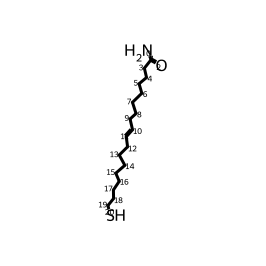 NC(=O)CCCCCCCC=CCCCCCCCCS